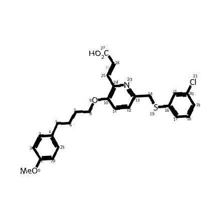 COc1ccc(CCCCOc2ccc(CSc3cccc(Cl)c3)nc2/C=C/C(=O)O)cc1